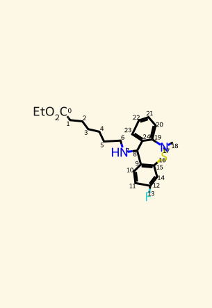 CCOC(=O)CCCCCCNC1c2ccc(F)cc2SN(C)c2ccccc21